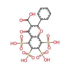 O=C(O)c1c(-c2ccccc2)oc2c(S(=O)(=O)O)c(S(=O)(=O)O)c(S(=O)(=O)O)c(S(=O)(=O)O)c2c1=O